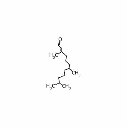 C/C(=C\C=O)CCCC(C)CCCC(C)C